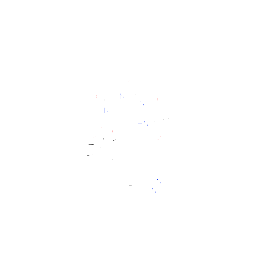 CC(C)[C@H](NC(=O)Cc1ccc(C2(C(F)(F)F)NN2)cc1)C(=O)N[C@@H](Cc1ccccc1)C(=O)N[C@@H](C)C(=O)NCB1O[C@@H]2CC3C[C@@H](C3(C)C)[C@]2(C)O1